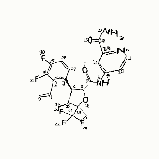 C=Cc1c([C@H]2[C@H](C(=O)Nc3ccnc(C(N)=O)c3)O[C@@](C)(C(F)(F)F)[C@H]2C)ccc(F)c1F